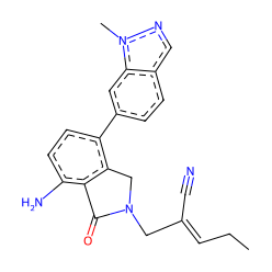 CC/C=C(\C#N)CN1Cc2c(-c3ccc4cnn(C)c4c3)ccc(N)c2C1=O